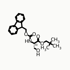 CC(C)(C)COC(=O)[C@H](CO)NC(=O)OCC1c2ccccc2-c2ccccc21